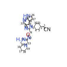 N#CC[C@H]1CC[C@H](n2c(CON=C(N)CN3CCCCC3)nc3cnc4[nH]ccc4c32)CC1